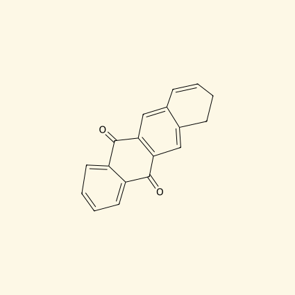 O=C1c2ccccc2C(=O)c2cc3c(cc21)C=CCC3